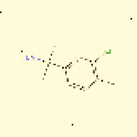 Cc1ccc(C(C)(C)N)cc1Cl